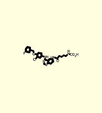 O=C(O)NCCCCC(=O)Nc1ccc2ncnc(Nc3ccc(OCc4cccc(F)c4)c(Cl)c3)c2c1